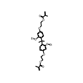 C=C(C)C(=O)OCCOc1ccc(C(C)(C)c2ccc(OCCOC(=O)C(=C)C)cc2OCC)c(OCC)c1